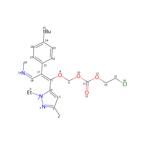 CCn1nc(C)cc1/C(OCOC(=O)OCCCl)=C(\C=N/C)c1ccc(C(C)(C)C)cc1